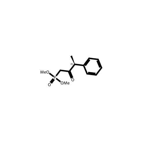 COP(=O)(CC(=O)[C@@H](C)c1ccccc1)OC